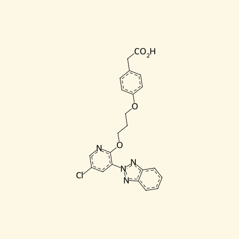 O=C(O)Cc1ccc(OCCCOc2ncc(Cl)cc2-n2nc3ccccc3n2)cc1